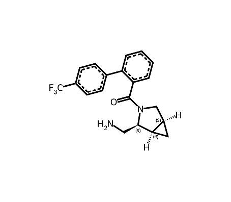 NC[C@@H]1[C@@H]2C[C@@H]2CN1C(=O)c1ccccc1-c1ccc(C(F)(F)F)cc1